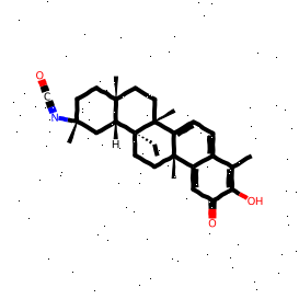 CC[C@@]12CC[C@@]3(C)C4=CC(=O)C(O)=C(C)C4=CC=C3[C@@]1(C)CC[C@@]1(C)CC[C@@](C)(N=C=O)C[C@H]12